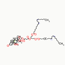 CCCCC/C=C\C/C=C\CCCCCCCC(=O)OCCC(CCOCOCCCCCCC/C=C\C/C=C\CCCCCC)OC(=O)CCC(=O)OCC(=O)[C@@]1(O)[C@H](C)C[C@H]2[C@@H]3CCC4=CC(=O)C=C[C@]4(C)[C@@]3(F)[C@@H](O)C[C@@]21C